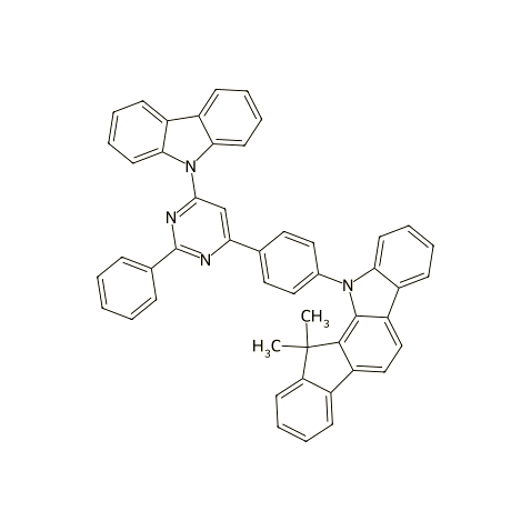 CC1(C)c2ccccc2-c2ccc3c4ccccc4n(-c4ccc(-c5cc(-n6c7ccccc7c7ccccc76)nc(-c6ccccc6)n5)cc4)c3c21